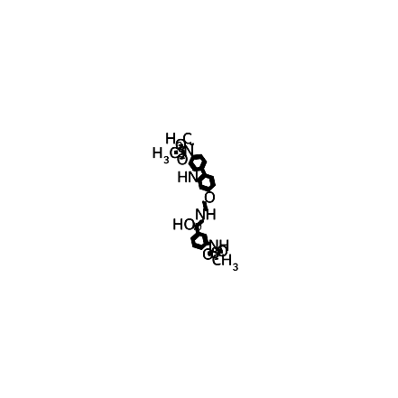 CCN(c1ccc2c(c1)[nH]c1cc(OCCNC[C@H](O)c3cccc(NS(C)(=O)=O)c3)ccc12)S(C)(=O)=O